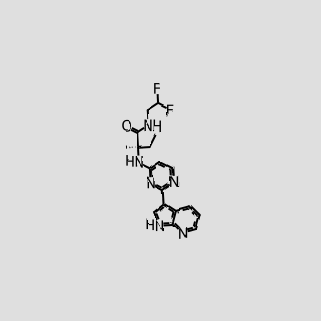 CC[C@@](C)(Nc1ccnc(-c2c[nH]c3ncccc23)n1)C(=O)NCC(F)F